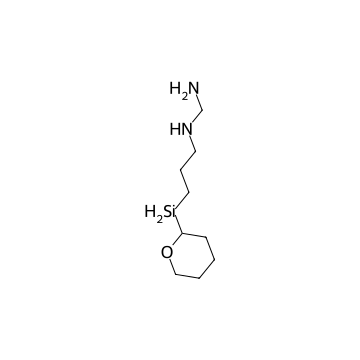 NCNCCC[SiH2]C1CCCCO1